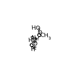 Cc1cc(C[C@H](CNC(=O)Cc2cccc(C(F)(F)F)c2)CN2CCCC2)ccc1OCCO